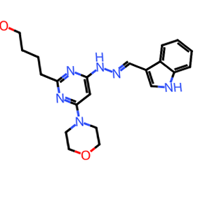 OCCCCc1nc(NN=Cc2c[nH]c3ccccc23)cc(N2CCOCC2)n1